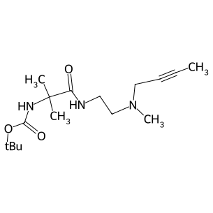 CC#CCN(C)CCNC(=O)C(C)(C)NC(=O)OC(C)(C)C